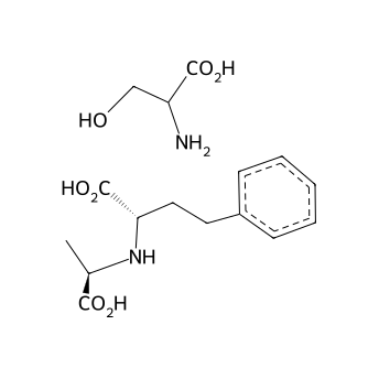 C[C@@H](N[C@@H](CCc1ccccc1)C(=O)O)C(=O)O.NC(CO)C(=O)O